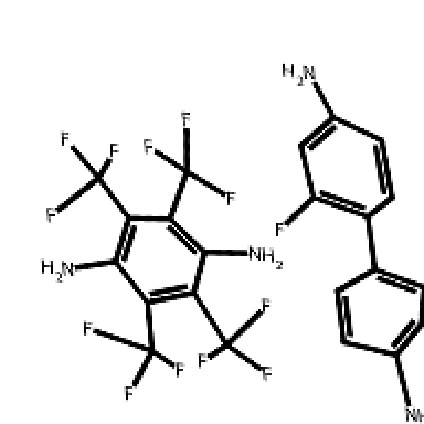 Nc1c(C(F)(F)F)c(C(F)(F)F)c(N)c(C(F)(F)F)c1C(F)(F)F.Nc1ccc(-c2ccc(N)cc2F)cc1